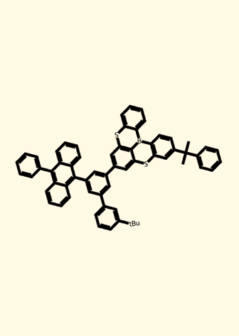 CC(C)(C)c1cccc(-c2cc(-c3cc4c5c(c3)Sc3cc(C(C)(C)c6ccccc6)ccc3B5c3ccccc3S4)cc(-c3c4ccccc4c(-c4ccccc4)c4ccccc34)c2)c1